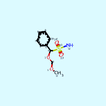 COCOC(c1ccccc1)S([NH])(=O)=O